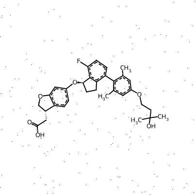 Cc1cc(OCCC(C)(C)O)cc(C)c1-c1ccc(F)c2c1CC[C@H]2Oc1ccc2c(c1)OC[C@H]2CC(=O)O